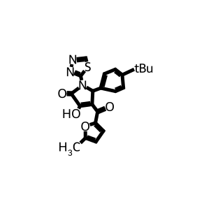 Cc1ccc(C(=O)C2=C(O)C(=O)N(c3nncs3)C2c2ccc(C(C)(C)C)cc2)o1